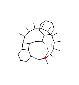 CC1C(C)C(C)C(C)C(C)C(C)C2C3CCCC4C(CCNC(C5CCCCCC5)CC2C43)C(C)C(C)C(C)C1C